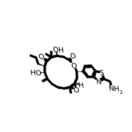 CCC[C@H]1C(=O)C(C)(C)[C@@H](O)CC(=O)O[C@H](c2ccc3sc(CN)nc3c2)C[C@@H]2OC2(C)CCCC(C)[C@@H]1O